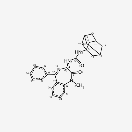 CN1C(=O)[C@H](NC(=O)NC23CC4CC(CC(C4)C2)C3)N=C(c2ccccc2)c2ccccc21